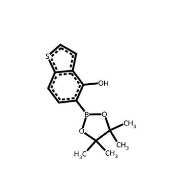 CC1(C)OB(c2ccc3sccc3c2O)OC1(C)C